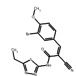 CCc1nnc(NC(=O)C(C#N)=Cc2ccc(OC)c(Br)c2)s1